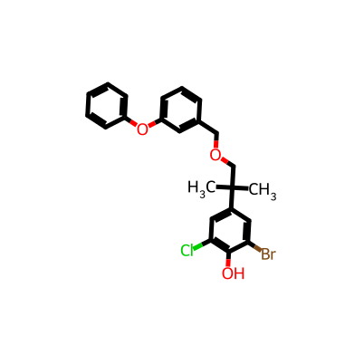 CC(C)(COCc1cccc(Oc2ccccc2)c1)c1cc(Cl)c(O)c(Br)c1